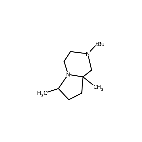 CC1CCC2(C)CN(C(C)(C)C)CCN12